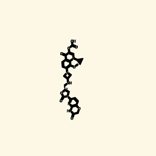 COc1c(N2CC(NC[C@@H]3CN(c4ccc5c(n4)NC(=O)CO5)C(=O)O3)C2)ccc2c(=O)c(OC(=O)O)cn(C3CC3)c12